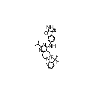 CC(C)c1nc2c(c(Nc3ccc(C4(C(N)=O)CC4)cc3)n1)CCN(c1ncccc1C(F)(F)F)CC2